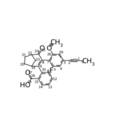 CC#Cc1cc(F)c(C2=C(c3ccccc3C(=O)O)C3CCC(C3)C2=O)c(OC)c1